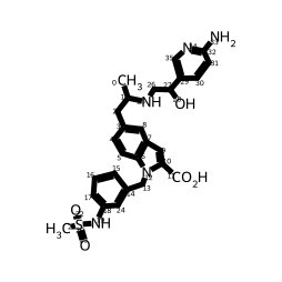 CC(Cc1ccc2c(c1)cc(C(=O)O)n2Cc1cccc(NS(C)(=O)=O)c1)NCC(O)c1ccc(N)nc1